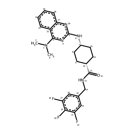 CN(C)c1nc(N[C@H]2CC[C@@H](C(=O)NCc3cc(F)c(F)c(F)c3)CC2)nc2ccccc12